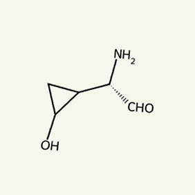 N[C@H](C=O)C1CC1O